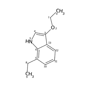 CCOc1c[nH]c2c(CC)cccc12